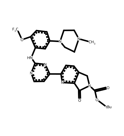 CN1CCN(c2ccc(OC(F)(F)F)c(Nc3nccc(-c4ccc5c(n4)C(=O)N(C(=O)OC(C)(C)C)C5)n3)c2)CC1